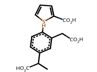 CC(C(=O)O)c1ccc([SH]2C=CC=C2C(=O)O)c(CC(=O)O)c1